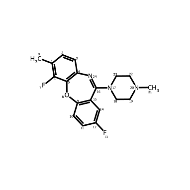 Cc1ccc2c(c1F)Oc1ccc(F)cc1C(N1CCN(C)CC1)=N2